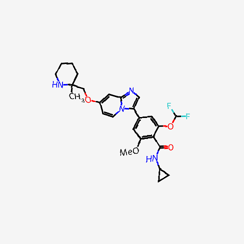 COc1cc(-c2cnc3cc(OCC4(C)CCCCN4)ccn23)cc(OC(F)F)c1C(=O)NC1CC1